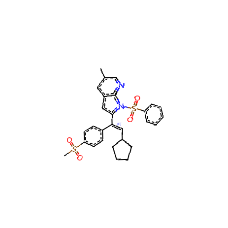 Cc1cnc2c(c1)cc(/C(=C/C1CCCC1)c1ccc(S(C)(=O)=O)cc1)n2S(=O)(=O)c1ccccc1